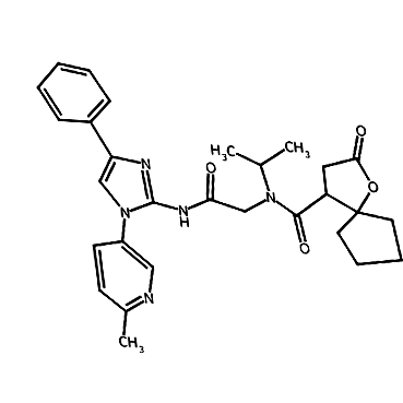 Cc1ccc(-n2cc(-c3ccccc3)nc2NC(=O)CN(C(=O)C2CC(=O)OC23CCCC3)C(C)C)cn1